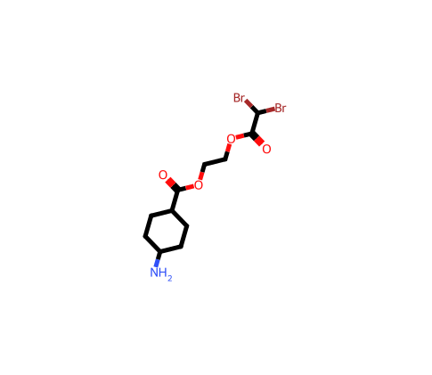 NC1CCC(C(=O)OCCOC(=O)C(Br)Br)CC1